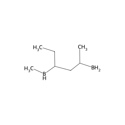 BC(C)CC(BC)CC